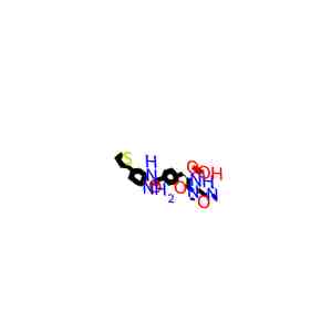 CN(C)C(=O)CN(C)C(=O)[C@H](Cc1ccc(C(=O)Nc2cc(-c3cccs3)ccc2N)cc1)NC(=O)O